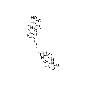 COC(=O)N[C@@H](C(=O)N1CCC[C@@H]1c1ncc(CCCCCCc2cnc([C@H]3CCCN3C(=O)[C@H](NC(=O)O)C(C)C)[nH]2)[nH]1)C(C)C